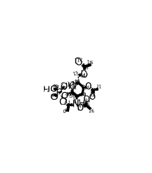 CC(=O)N[C@H]1[C@@H](OP(=O)(O)O)O[C@H](COC(C)=O)[C@@H](OC(C)=O)[C@@H]1OC(C)=O